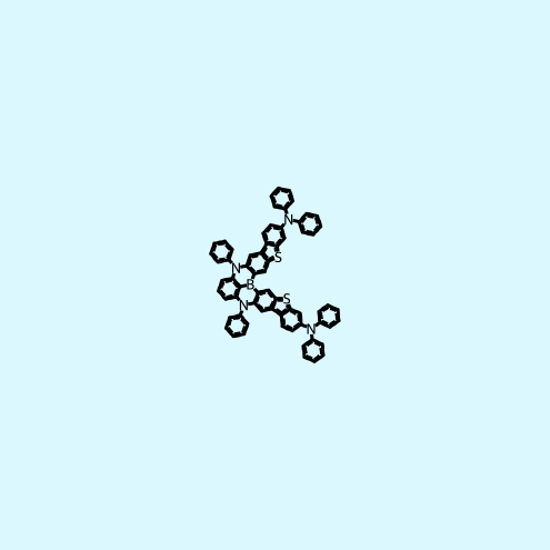 c1ccc(N(c2ccccc2)c2ccc3c(c2)sc2cc4c(cc23)N(c2ccccc2)c2cccc3c2B4c2cc4sc5cc(N(c6ccccc6)c6ccccc6)ccc5c4cc2N3c2ccccc2)cc1